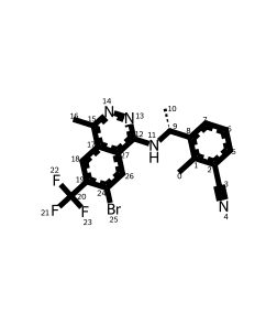 Cc1c(C#N)cccc1[C@@H](C)Nc1nnc(C)c2cc(C(F)(F)F)c(Br)cc12